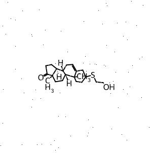 C[C@]12CCC(SCCO)CC1=CC[C@@H]1[C@H]2CC[C@]2(C)C(=O)CC[C@@H]12